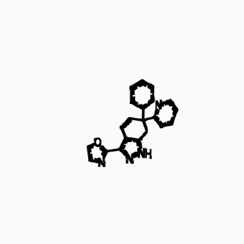 C1=CC(c2ccccc2)(c2ccccn2)Cc2[nH]nc(-c3ncco3)c21